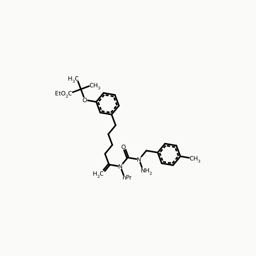 C=C(CCCCc1cccc(OC(C)(C)C(=O)OCC)c1)N(CCC)C(=O)N(N)Cc1ccc(C)cc1